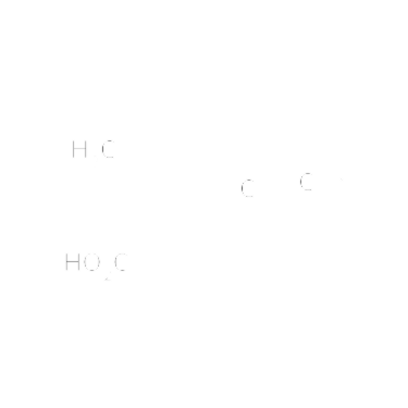 CC(C(=O)O)C12CCC(CC1)CC2